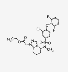 CCOC(=O)Cn1ncc2c1CCCC2N(C)S(=O)(=O)c1ccc(Oc2c(F)cccc2F)c(Cl)c1